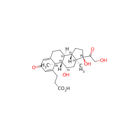 C[C@]12C(CCC(=O)O)=CC(=O)C=C1CC[C@@H]1[C@@H]2[C@@H](O)C[C@@]2(C)[C@H]1CC[C@]2(O)C(=O)CO